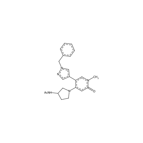 CC(=O)NC1CCN(c2cc(=O)n(C)cc2-c2cnn(Cc3ccccc3)c2)C1